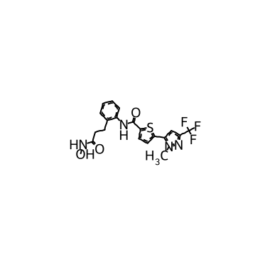 Cn1nc(C(F)(F)F)cc1-c1ccc(C(=O)Nc2ccccc2CCC(=O)NO)s1